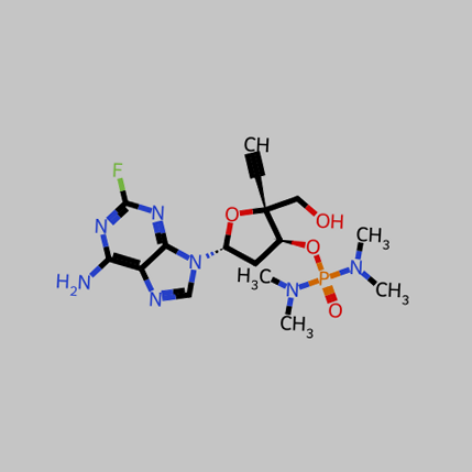 C#C[C@]1(CO)O[C@@H](n2cnc3c(N)nc(F)nc32)C[C@@H]1OP(=O)(N(C)C)N(C)C